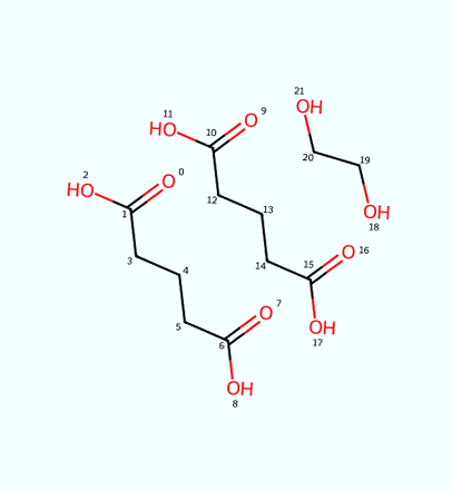 O=C(O)CCCC(=O)O.O=C(O)CCCC(=O)O.OCCO